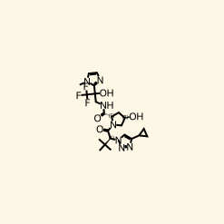 Cn1ccnc1C(O)(CNC(=O)[C@@H]1C[C@@H](O)CN1C(=O)[C@@H](n1cc(C2CC2)nn1)C(C)(C)C)C(F)(F)F